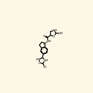 CCC1NC(c2ccc3c(c2)CC[C@H]3NC(=O)C2CNC(O)O2)NO1